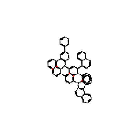 c1ccc(-c2ccc(N(c3ccc(-c4ccccc4)c(-c4cccc5ccccc45)c3)c3ccccc3-c3ccc(-n4c5ccccc5c5c6ccccc6ccc54)cc3)c(-c3ccccc3)c2)cc1